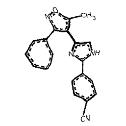 Cc1onc(-c2ccccc2)c1-c1c[nH]c(-c2ccc(C#N)cc2)n1